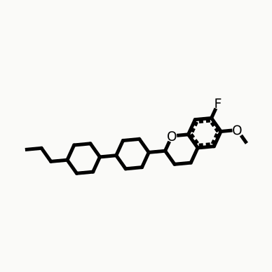 CCCC1CCC(C2CCC(C3CCc4cc(OC)c(F)cc4O3)CC2)CC1